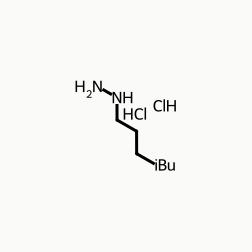 CCC(C)CCCNN.Cl.Cl